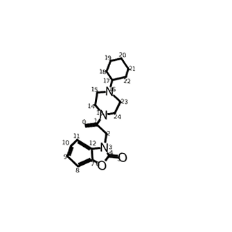 C=C(Cn1c(=O)oc2ccccc21)N1CCN(C2CCCCC2)CC1